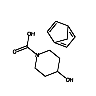 C1=CC2=CC=C1C2.O=C(O)N1CCC(O)CC1